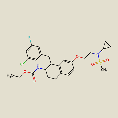 CCOC(=O)NC1CCc2ccc(OCCN(C3CC3)S(C)(=O)=O)cc2C1Cc1cc(F)cc(Cl)c1